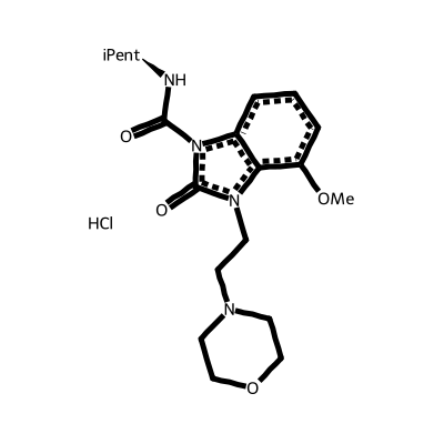 CCC[C@H](C)NC(=O)n1c(=O)n(CCN2CCOCC2)c2c(OC)cccc21.Cl